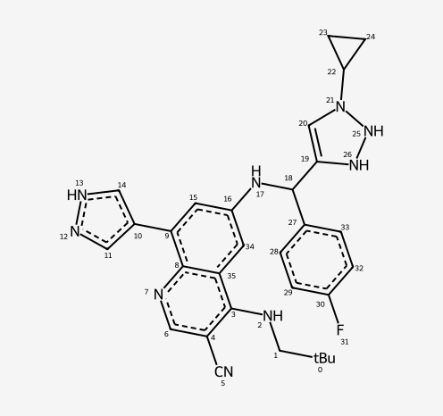 CC(C)(C)CNc1c(C#N)cnc2c(-c3cn[nH]c3)cc(NC(C3=CN(C4CC4)NN3)c3ccc(F)cc3)cc12